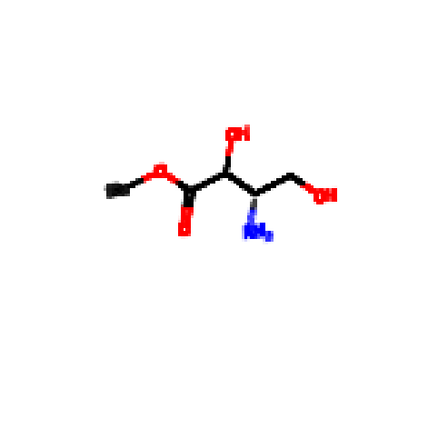 CC(C)(C)OC(=O)C(O)[C@@H](N)CO